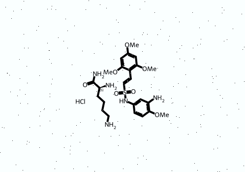 COc1cc(OC)c(C=CS(=O)(=O)Nc2ccc(OC)c(N)c2)c(OC)c1.Cl.NCCCC[C@H](N)C(N)=O